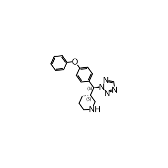 c1ccc(Oc2ccc([C@H]([C@H]3CCCNC3)n3ncnn3)cc2)cc1